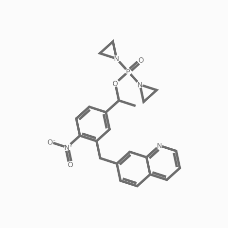 CC(OP(=O)(N1CC1)N1CC1)c1ccc([N+](=O)[O-])c(Cc2ccc3cccnc3c2)c1